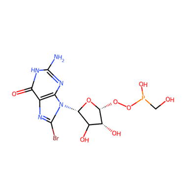 Nc1nc2c(nc(Br)n2[C@@H]2O[C@H](OOP(O)CO)[C@H](O)C2O)c(=O)[nH]1